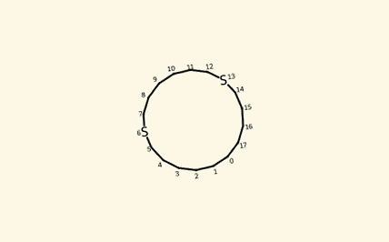 C1CCCCCSCCCCCCSCCCC1